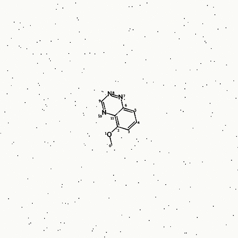 COc1cccc2nncnc12